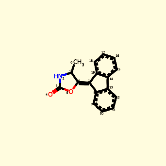 CC1NC(=O)OC1=C1c2ccccc2-c2ccccc21